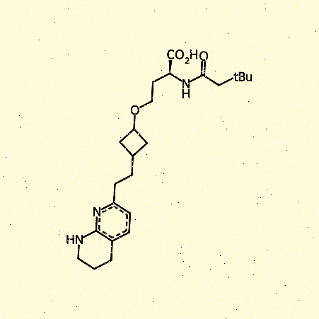 CC(C)(C)CC(=O)N[C@@H](CCOC1CC(CCc2ccc3c(n2)NCCC3)C1)C(=O)O